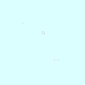 Cc1ccc(C2=NCC(C)CC2)cc1Cl